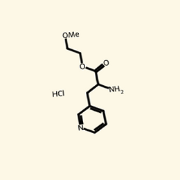 COCCOC(=O)C(N)Cc1cccnc1.Cl